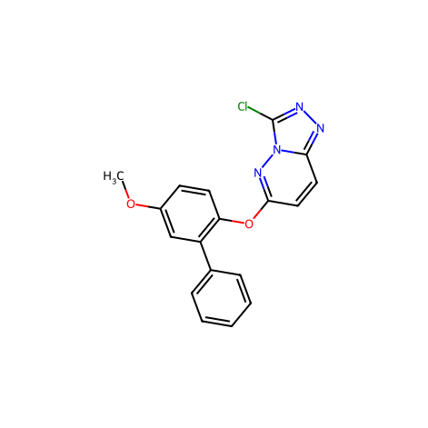 COc1ccc(Oc2ccc3nnc(Cl)n3n2)c(-c2ccccc2)c1